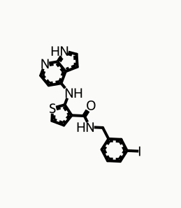 O=C(NCc1cccc(I)c1)c1ccsc1Nc1ccnc2[nH]ccc12